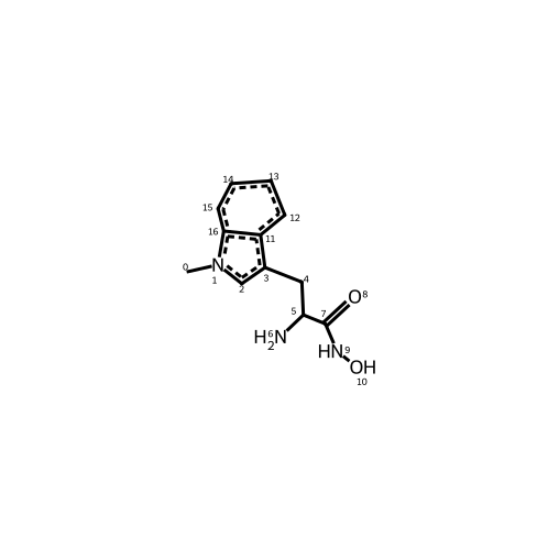 Cn1cc(CC(N)C(=O)NO)c2ccccc21